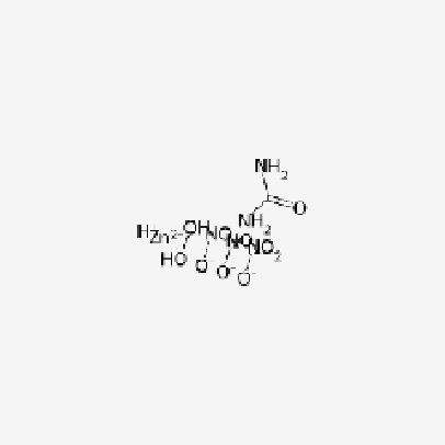 NC(N)=O.O=[N+]([O-])[O-].O=[N+]([O-])[O-].O=[N+]([O-])[O-].OO.[H+].[Zn+2]